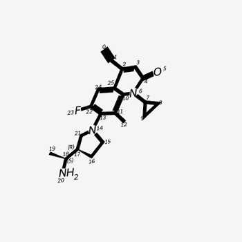 C#Cc1cc(=O)n(C2CC2)c2c(C)c(N3CC[C@@H]([C@H](C)N)C3)c(F)cc12